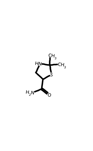 CC1(C)NCC(C(N)=O)S1